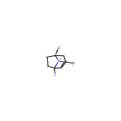 CC(C)C1=C[C@@H]2CC[C@H](C1)N2C(C)C